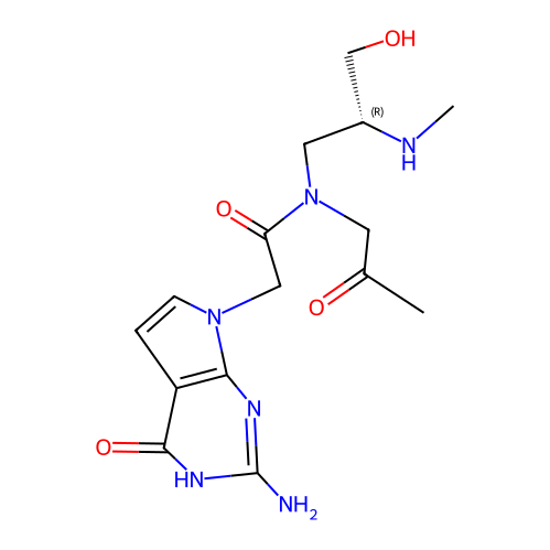 CN[C@@H](CO)CN(CC(C)=O)C(=O)Cn1ccc2c(=O)[nH]c(N)nc21